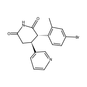 Cc1cc(Br)ccc1[C@H]1C(=O)NC(=O)C[C@@H]1c1cccnc1